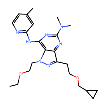 CCOCCn1nc(CCOCC2CC2)c2nc(N(C)C)nc(Nc3cc(C)ccn3)c21